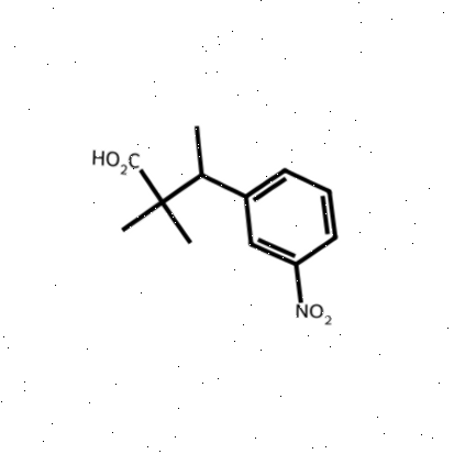 CC(c1cccc([N+](=O)[O-])c1)C(C)(C)C(=O)O